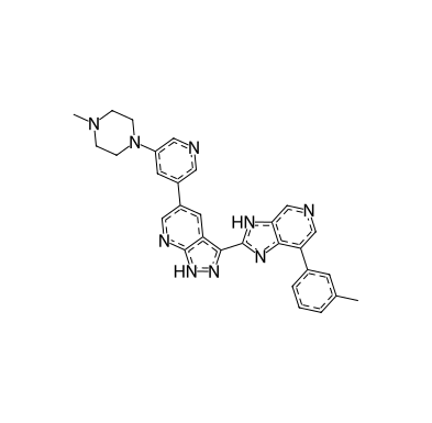 Cc1cccc(-c2cncc3[nH]c(-c4n[nH]c5ncc(-c6cncc(N7CCN(C)CC7)c6)cc45)nc23)c1